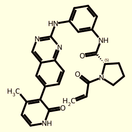 C=CC(=O)N1CCC[C@H]1C(=O)Nc1cccc(Nc2ncc3cc(-c4c(C)cc[nH]c4=O)ccc3n2)c1